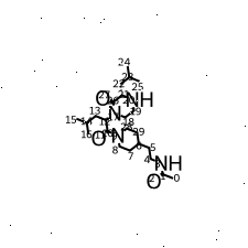 CC(=O)NCCC1CCN(C(=O)C(CC(C)C)N2CCN[C@@H](CC(C)C)C2=O)CC1